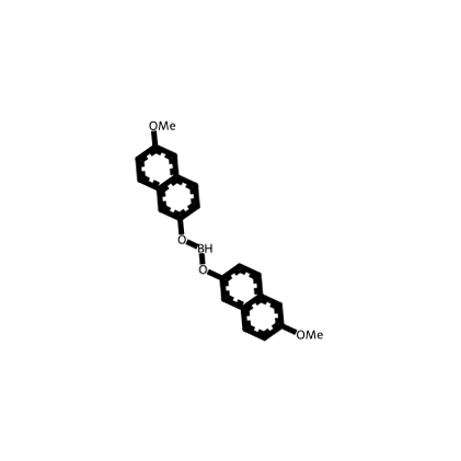 COc1ccc2cc(OBOc3ccc4cc(OC)ccc4c3)ccc2c1